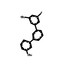 CC(C)(C)c1cccc(-c2cccc(-c3cc(F)cc(C(C)(C)C)c3)c2)c1